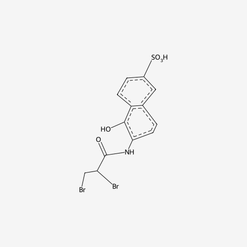 O=C(Nc1ccc2cc(S(=O)(=O)O)ccc2c1O)C(Br)CBr